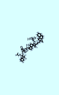 CC(C)CCN1/C(=C\C=C2\SC(=O)N(CC(=O)Nc3cccc4c5c(ccc34)N(CCC(=O)O)C(/C=C/C=C3/N(C)c4ccc6ccccc6c4C3(C)C)C5(C)C)C2=O)C(C)(C)c2ccccc21